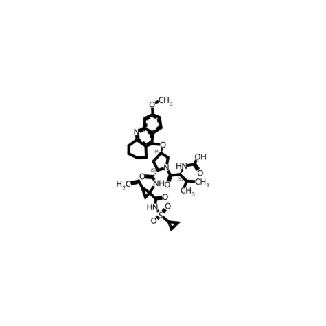 C=CC1CC1(NC(=O)[C@@H]1C[C@@H](Oc2c3c(nc4cc(OC)ccc24)CCCC3)CN1C(=O)[C@@H](NC(=O)O)C(C)C)C(=O)NS(=O)(=O)C1CC1